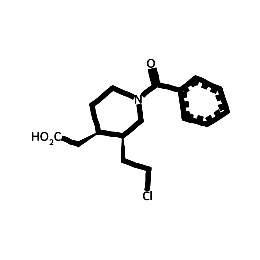 O=C(O)C[C@H]1CCN(C(=O)c2ccccc2)C[C@H]1CCCl